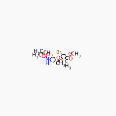 COC(=O)c1cc(Br)c2c(c1C)OC(C)([C@H]1CC[C@H](NC(=O)OC(C)(C)C)CC1)O2